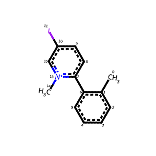 Cc1ccccc1-c1ccc(I)c[n+]1C